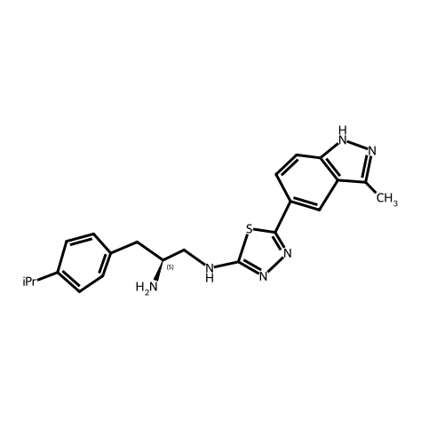 Cc1n[nH]c2ccc(-c3nnc(NC[C@@H](N)Cc4ccc(C(C)C)cc4)s3)cc12